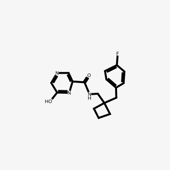 O=C(NCC1(Cc2ccc(F)cc2)CCC1)c1cncc(O)n1